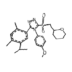 COc1ccc(-n2c(-c3cc(C(C)C)c(C)cc3C)nnc2S(=O)(=O)CC2CCCCO2)cc1